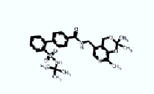 Cc1ncc(CNC(=O)c2ccc(-c3ccccc3S(=O)(=O)NC(C)(C)C)cc2)c2c1OC(C)(C)OC2